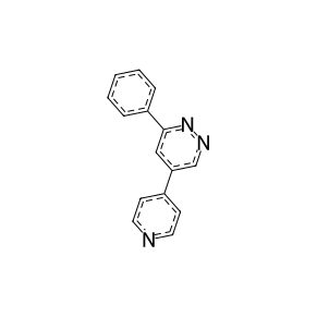 c1ccc(-c2cc(-c3ccncc3)cnn2)cc1